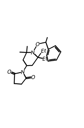 CCC1(CC)CC(N2C(=O)CCC2=O)CC(C)(C)N1OC(C)c1ccccc1